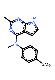 CSc1ccc(N(C)c2nc(C)nc3[nH]ccc23)cc1